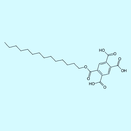 CCCCCCCCCCCCCCOC(=O)c1cc(C(=O)O)c(C(=O)O)cc1C(=O)O